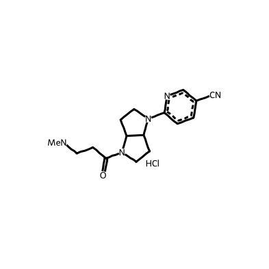 CNCCC(=O)N1CCC2C1CCN2c1ccc(C#N)cn1.Cl